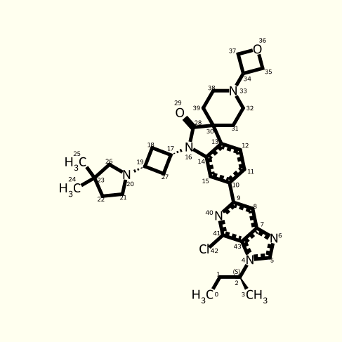 CC[C@H](C)n1cnc2cc(-c3ccc4c(c3)N([C@H]3C[C@@H](N5CCC(C)(C)C5)C3)C(=O)C43CCN(C4COC4)CC3)nc(Cl)c21